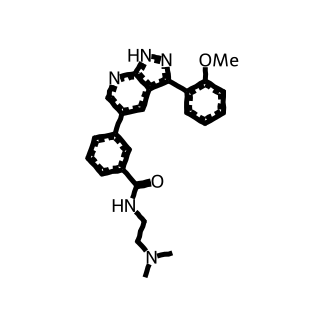 COc1ccccc1-c1n[nH]c2ncc(-c3cccc(C(=O)NCCN(C)C)c3)cc12